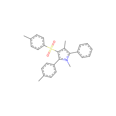 Cc1ccc(-c2c(S(=O)(=O)c3ccc(C)cc3)c(C)c(-c3ccccc3)n2C)cc1